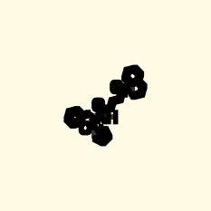 O=C(CCCC(=O)N1CCCC2CCCCC21)N[C@@H](Cc1ccccc1)C(=O)N1CCCC1